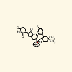 CC1(C)CCC(CN2CC3CC(C2)N3C(=O)c2ccc3c(c2)CN(C2CCC(=O)NC2=O)C3=O)=C(c2ccc(F)cc2)C1